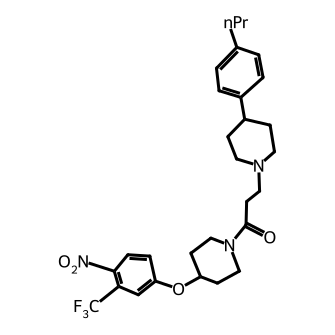 CCCc1ccc(C2CCN(CCC(=O)N3CCC(Oc4ccc([N+](=O)[O-])c(C(F)(F)F)c4)CC3)CC2)cc1